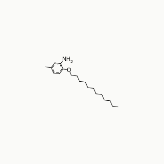 CCCCCCCCCCCCOc1ccc(C)cc1N